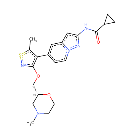 Cc1snc(OC[C@H]2CN(C)CCO2)c1-c1ccn2nc(NC(=O)C3CC3)cc2c1